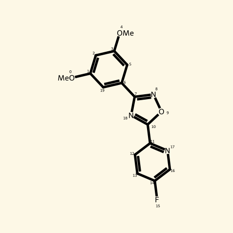 COc1cc(OC)cc(-c2noc(-c3ccc(F)cn3)n2)c1